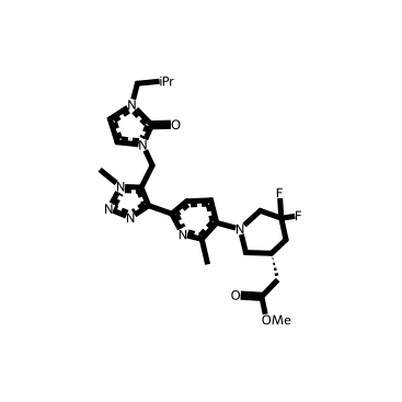 COC(=O)C[C@@H]1CN(c2ccc(-c3nnn(C)c3Cn3ccn(CC(C)C)c3=O)nc2C)CC(F)(F)C1